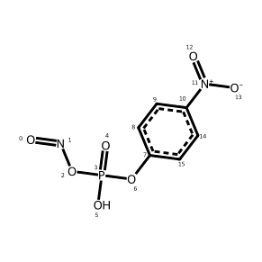 O=NOP(=O)(O)Oc1ccc([N+](=O)[O-])cc1